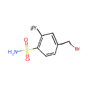 CC(C)c1cc(CBr)ccc1S(N)(=O)=O